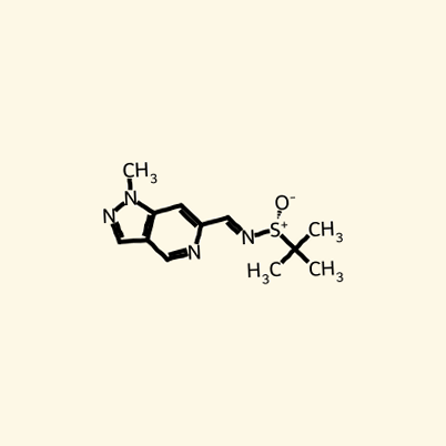 Cn1ncc2cnc(/C=N/[S@+]([O-])C(C)(C)C)cc21